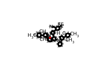 Cc1cc(C)c(-c2ccc3c(c2)c2ccccc2n3-c2ccc(C#N)c(-c3cc(-c4ccc(C(F)(F)F)cc4C#N)ccc3-n3c4ccccc4c4cc(-c5c(C)cc(C)cc5C)ccc43)c2)c(C)c1